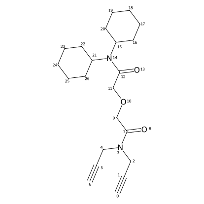 C#CCN(CC#C)C(=O)COCC(=O)N(C1CCCCC1)C1CCCCC1